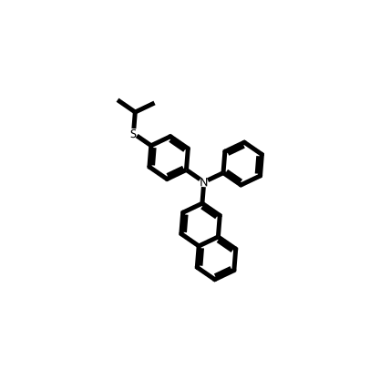 CC(C)Sc1ccc(N(c2ccccc2)c2ccc3ccccc3c2)cc1